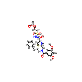 COc1cc(C(=O)N(CCCc2ccccc2)Cc2nc(C(=O)NS(=O)(=O)CCOC(C)=O)cs2)cc(OC)c1C